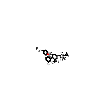 O=S(=O)(NC[C@@H]1CC[C@@]2(S(=O)(=O)c3ccc(C(F)(F)F)cc3)c3c(F)ccc(F)c3OC[C@H]2C1)C1CC1